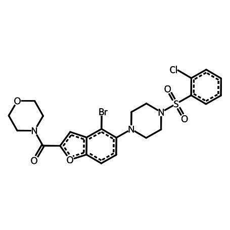 O=C(c1cc2c(Br)c(N3CCN(S(=O)(=O)c4ccccc4Cl)CC3)ccc2o1)N1CCOCC1